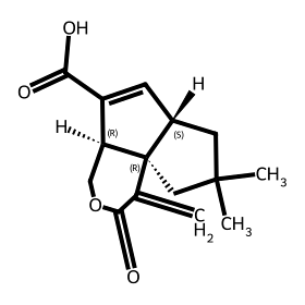 C=C1C(=O)OC[C@H]2C(C(=O)O)=C[C@@H]3CC(C)(C)C[C@@]132